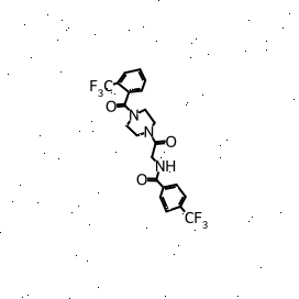 O=C(NCC(=O)N1CCN(C(=O)c2ccccc2C(F)(F)F)CC1)c1ccc(C(F)(F)F)cc1